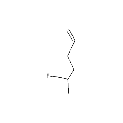 C=CCCC(C)F